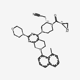 Cc1cccc2cccc(N3CCc4c(nc(N5CCOCC5)nc4N4CCN(C(=O)[C@H]5CN5)[C@@H](CC#N)C4)C3)c12